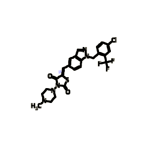 CN1CCN(N2C(=O)S/C(=C\c3ccc4c(cnn4Cc4ccc(Cl)cc4C(F)(F)F)c3)C2=O)CC1